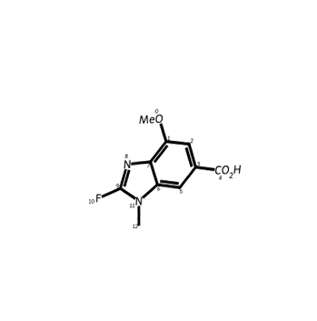 COc1cc(C(=O)O)cc2c1nc(F)n2C